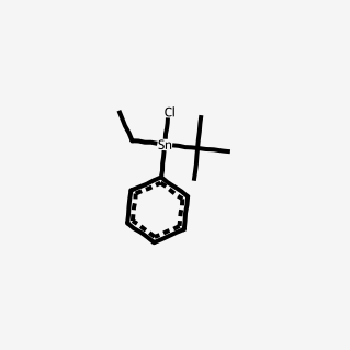 C[CH2][Sn]([Cl])([c]1ccccc1)[C](C)(C)C